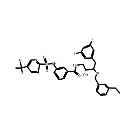 CCc1cccc(CNC(Cc2cc(F)cc(F)c2)[C@H](O)CNC(=O)c2cccc(NS(=O)(=O)c3ccc(C(F)(F)F)cn3)c2)c1